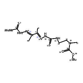 CNC(=S)N/N=C(C)/C(C)=N/NC(=S)NCCN(C)C(=O)OC(C)(C)C